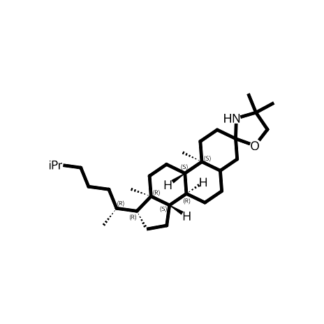 CC(C)CCC[C@@H](C)[C@H]1CC[C@H]2[C@@H]3CCC4CC5(CC[C@]4(C)[C@H]3CC[C@]12C)NC(C)(C)CO5